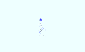 C=C(Nc1cc2cc(-c3cnn(C)c3)ccc2cn1)c1ccnc(N2CC(NC)C2)c1